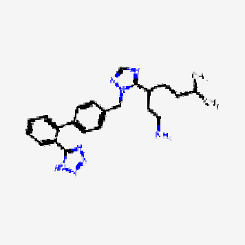 CC(C)CCC(CCN)c1ncnn1Cc1ccc(-c2ccccc2-c2nnn[nH]2)cc1